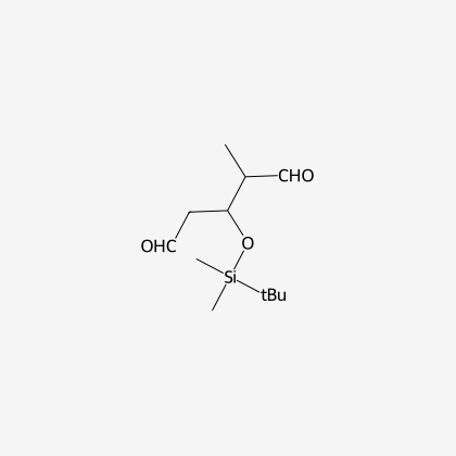 CC(C=O)C(CC=O)O[Si](C)(C)C(C)(C)C